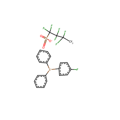 Fc1ccc([S+](c2ccccc2)c2ccccc2)cc1.O=S(=O)([O-])C(F)(F)C(F)(F)C(F)(F)C(F)(F)F